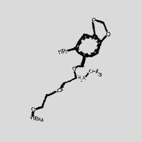 CCCCOCCOCCOCc1cc2c(cc1CCC)OCO2.[CH3][AlH2]